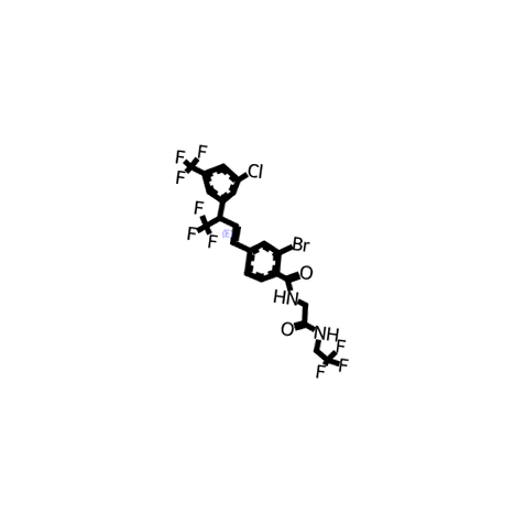 O=C(CNC(=O)c1ccc(/C=C/C(c2cc(Cl)cc(C(F)(F)F)c2)C(F)(F)F)cc1Br)NCC(F)(F)F